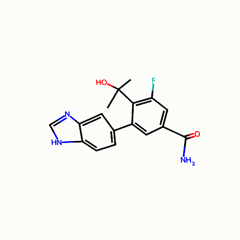 CC(C)(O)c1c(F)cc(C(N)=O)cc1-c1ccc2[nH]cnc2c1